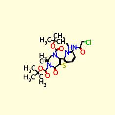 C[C@@H]1CN(C(=O)OC(C)(C)C)c2c(sc3ccc(NC(=O)CCl)nc23)C(=O)N1C(=O)OC(C)(C)C